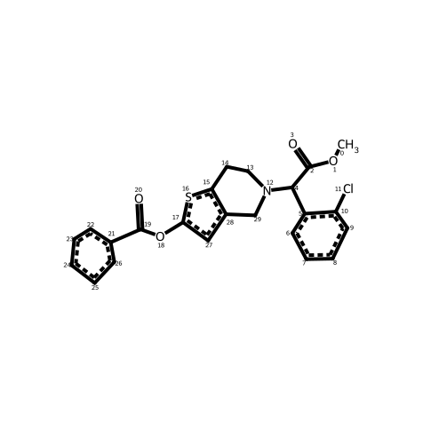 COC(=O)C(c1ccccc1Cl)N1CCc2sc(OC(=O)c3ccccc3)cc2C1